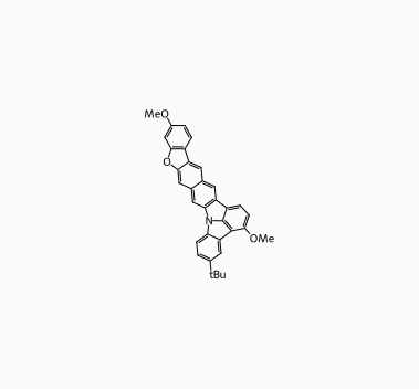 COc1ccc2c(c1)oc1cc3cc4c(cc3cc12)c1ccc(OC)c2c3cc(C(C)(C)C)ccc3n4c12